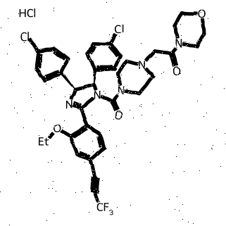 CCOc1cc(C#CC(F)(F)F)ccc1C1=N[C@@H](c2ccc(Cl)cc2)[C@@H](c2ccc(Cl)cc2)N1C(=O)N1CCN(CC(=O)N2CCOCC2)CC1.Cl